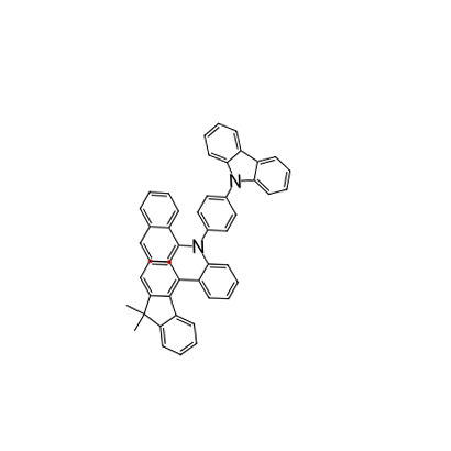 CC1(C)c2ccccc2-c2c(-c3ccccc3N(c3ccc(-n4c5ccccc5c5ccccc54)cc3)c3cccc4ccccc34)cccc21